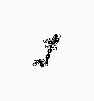 COC(=O)NC(C(=O)N1C[C@@H]([S+](C)[O-])C[C@H]1c1nc(Cl)c(-c2ccc(-c3ccc(-c4cnc([C@@H]5CCCN5C(=O)[C@@H](NC(=O)OC)C(C)C)[nH]4)cc3)cc2)[nH]1)C(C)C